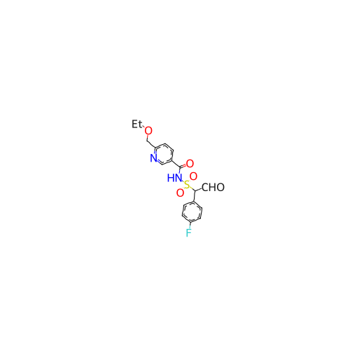 CCOCc1ccc(C(=O)NS(=O)(=O)C(C=O)c2ccc(F)cc2)cn1